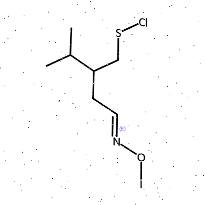 CC(C)C(C/C=N/OI)CSCl